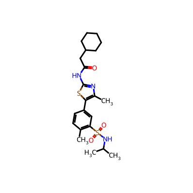 Cc1ccc(-c2sc(NC(=O)CC3CCCCC3)nc2C)cc1S(=O)(=O)NC(C)C